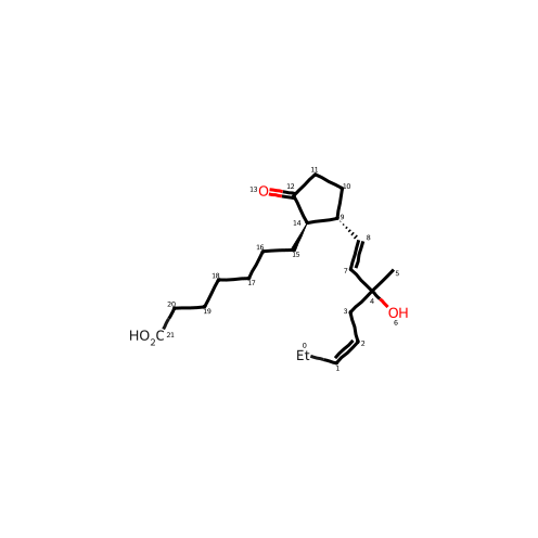 CC/C=C\CC(C)(O)/C=C/[C@H]1CCC(=O)[C@@H]1CCCCCCC(=O)O